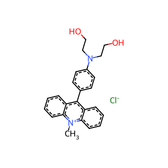 C[n+]1c2ccccc2c(-c2ccc(N(CCO)CCO)cc2)c2ccccc21.[Cl-]